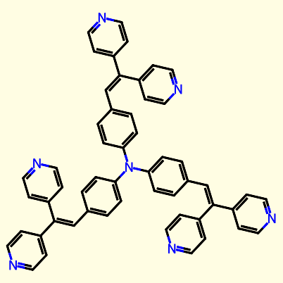 C(=C(c1ccncc1)c1ccncc1)c1ccc(N(c2ccc(C=C(c3ccncc3)c3ccncc3)cc2)c2ccc(C=C(c3ccncc3)c3ccncc3)cc2)cc1